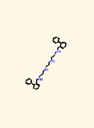 c1ccc(-c2ccccc2CNCCCNCCCNCCCNCc2ccccc2-c2ccccc2)cc1